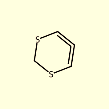 C1=CSCSC=1